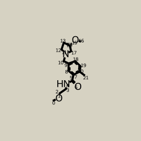 COCCNC(=O)c1cc(CN2CC[C@H](OC)C2)ccc1C